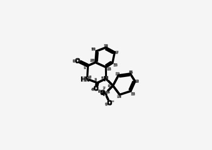 O=c1[nH]c(=O)n(C2([N+](=O)[O-])C=CC=CC2)c2ccccc12